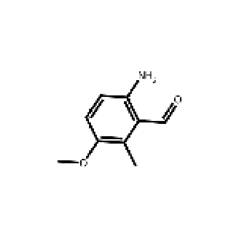 COc1ccc(N)c(C=O)c1C